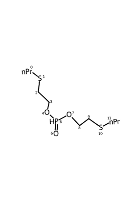 CCCSCCO[PH](=O)OCCSCCC